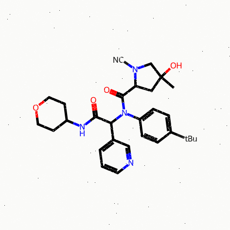 CC1(O)CC(C(=O)N(c2ccc(C(C)(C)C)cc2)C(C(=O)NC2CCOCC2)c2cccnc2)N(C#N)C1